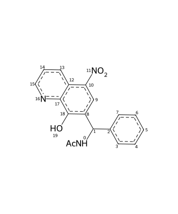 CC(=O)NC(c1ccccc1)c1cc([N+](=O)[O-])c2cccnc2c1O